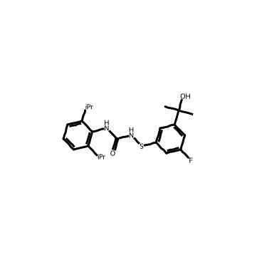 CC(C)c1cccc(C(C)C)c1NC(=O)NSc1cc(F)cc(C(C)(C)O)c1